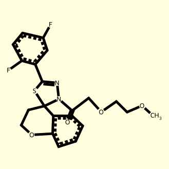 COCCOCC(=O)N1N=C(c2cc(F)ccc2F)SC12CCOc1ccccc12